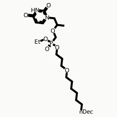 CCCCCCCCCCCCCCCCOCCCOP(=O)(COC(C)Cn1ccc(=O)[nH]c1=O)OCC